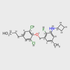 Cc1cc(COc2c(Cl)cc(CCC(=O)O)cc2Cl)c(F)c(NC2CCC2)c1